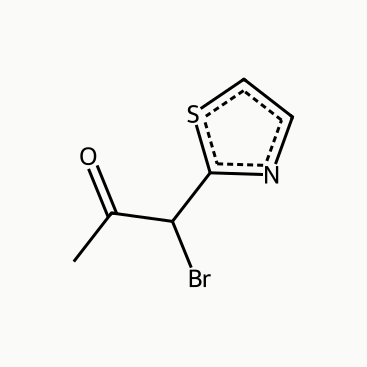 CC(=O)C(Br)c1nccs1